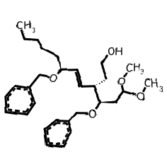 CCCCC[C@@H](C=C[C@H](CCO)[C@@H](CC(OC)OC)OCc1ccccc1)OCc1ccccc1